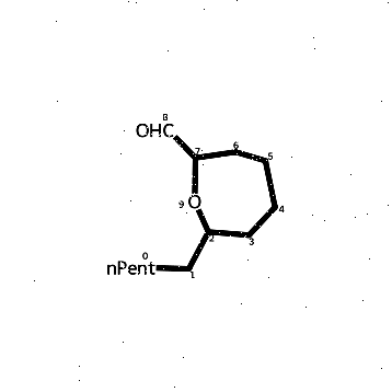 CCCCCCC1CCCCC(C=O)O1